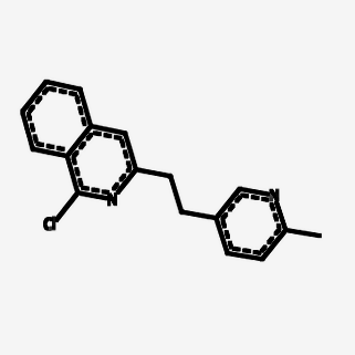 Cc1ccc(CCc2cc3ccccc3c(Cl)n2)cn1